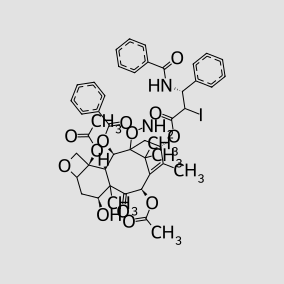 CC(=O)O[C@H]1C(=O)C2(C)[C@@H]([C@@H](OC(=O)c3ccccc3)C3(ON)C[C@H](OC(=O)C(I)[C@H](NC(=O)c4ccccc4)c4ccccc4)C(C)=C1C3(C)C)[C@@]1(OC(C)=O)COC1C[C@@H]2O